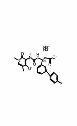 Cc1cn(C)c(=O)c(NC(=O)N[C@@H](CC(=O)[O-])c2cccc(-c3ccc(F)cc3)c2)c1[O-].[Na+].[Na+]